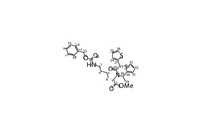 COC(=O)[C@H](CCCCNC(=O)OCc1ccccc1)N(C(=O)Cc1cccs1)C(C)c1cccs1